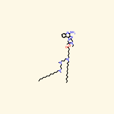 CCCCCCCCCCCCN(C)CCCN(C)CCCN(CCCCCCCCCCCC)CCCCCC(=O)OC(C)(C)Cn1c(CNCC)nc2c(N)nc3ccccc3c21